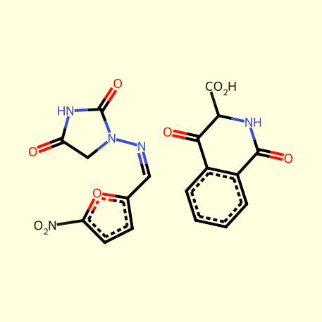 O=C1CN(/N=C\c2ccc([N+](=O)[O-])o2)C(=O)N1.O=C1NC(C(=O)O)C(=O)c2ccccc21